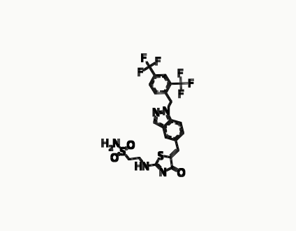 NS(=O)(=O)CCNC1=NC(=O)C(=Cc2ccc3c(cnn3Cc3ccc(C(F)(F)F)cc3C(F)(F)F)c2)S1